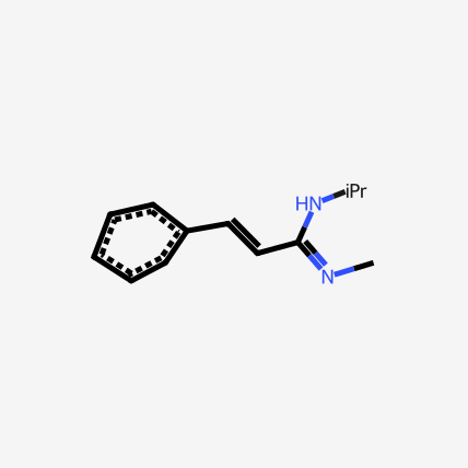 CN=C(C=Cc1ccccc1)NC(C)C